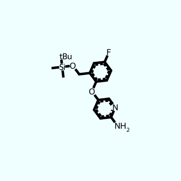 CC(C)(C)[Si](C)(C)OCc1cc(F)ccc1Oc1ccc(N)nc1